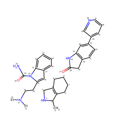 CC1NCC2=C1CCCC2.CCN(CC)CCc1cc2ccccc2n1C(N)=O.O=C1Cc2ccc(-c3cccnc3)cc2N1